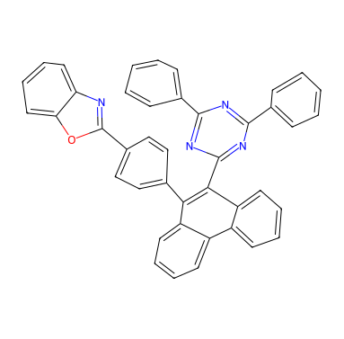 c1ccc(-c2nc(-c3ccccc3)nc(-c3c(-c4ccc(-c5nc6ccccc6o5)cc4)c4ccccc4c4ccccc34)n2)cc1